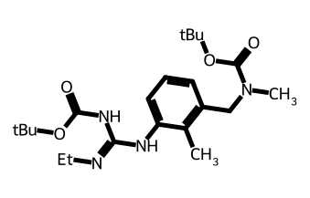 CCN=C(NC(=O)OC(C)(C)C)Nc1cccc(CN(C)C(=O)OC(C)(C)C)c1C